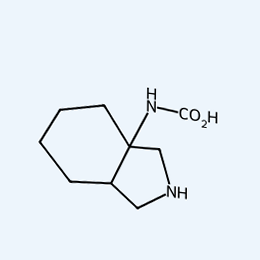 O=C(O)NC12CCCCC1CNC2